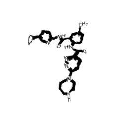 Cc1ccc(NC(=O)c2ccc(N3CCCNCC3)nn2)c(C(=O)Nc2ccc(Cl)cn2)c1